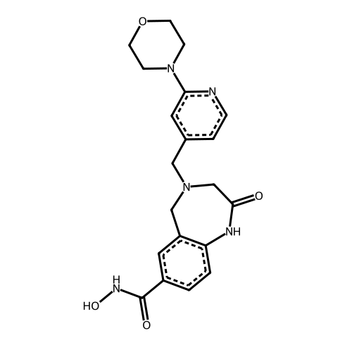 O=C1CN(Cc2ccnc(N3CCOCC3)c2)Cc2cc(C(=O)NO)ccc2N1